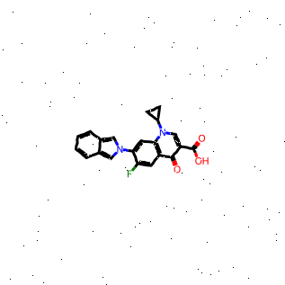 O=C(O)c1cn(C2CC2)c2cc(-n3cc4ccccc4c3)c(F)cc2c1=O